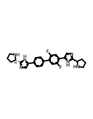 Fc1cc(-c2cnc(C3CCCN3)[nH]2)c(F)cc1-c1ccc(-c2cnc([C@@H]3CCCN3)[nH]2)cc1